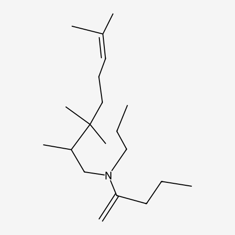 C=C(CCC)N(CCC)CC(C)C(C)(C)CCC=C(C)C